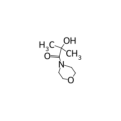 CC(C)(O)C(=O)N1CCOCC1